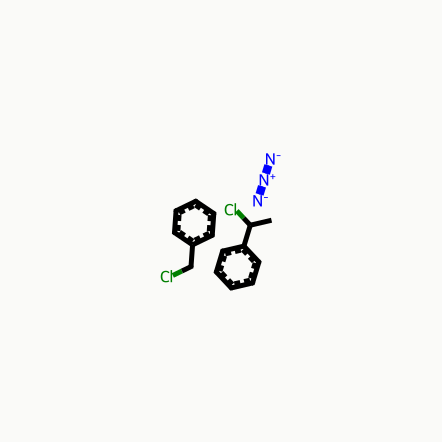 CC(Cl)c1ccccc1.ClCc1ccccc1.[N-]=[N+]=[N-]